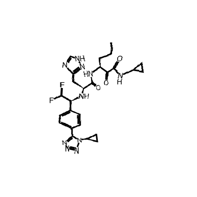 CCC[C@H](NC(=O)[C@H](Cc1nc[nH]n1)N[C@@H](c1ccc(-c2nnnn2C2CC2)cc1)C(F)F)C(=O)C(=O)NC1CC1